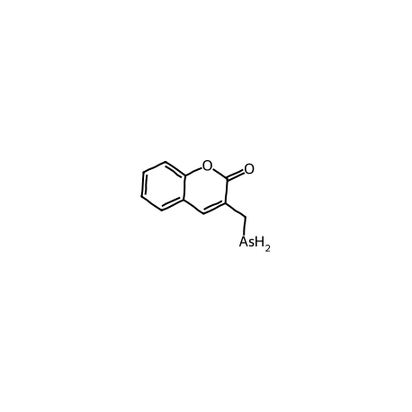 O=c1oc2ccccc2cc1C[AsH2]